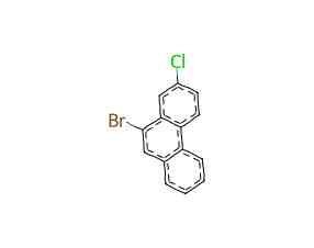 Clc1ccc2c(c1)c(Br)cc1ccccc12